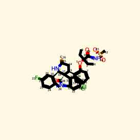 CCC(CC)(Oc1ccc(Cl)cc1[C@@H]1CC(=S)N[C@H](c2cc(F)ccc2C)[C@@]12C(=O)Nc1cc(Cl)ccc12)C(=O)NS(C)(=O)=O